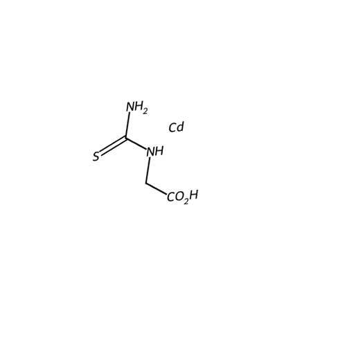 NC(=S)NCC(=O)O.[Cd]